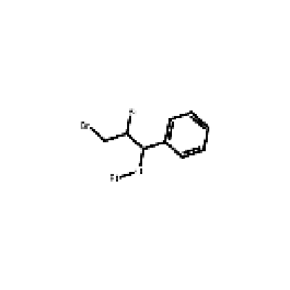 CCOC(c1ccccc1)C(Br)CBr